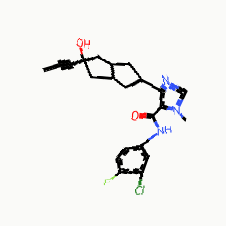 CC#CC1(O)CC2CC(c3ncn(C)c3C(=O)Nc3ccc(F)c(Cl)c3)CC2C1